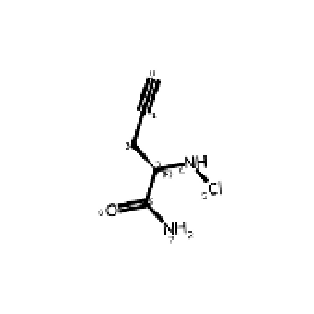 C#CC[C@@H](NCl)C(N)=O